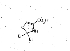 CCC1(Br)NC(C(=O)O)=CO1